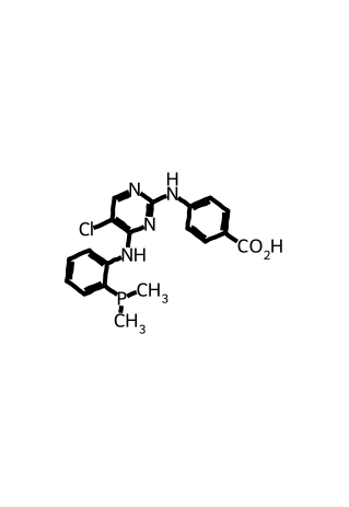 CP(C)c1ccccc1Nc1nc(Nc2ccc(C(=O)O)cc2)ncc1Cl